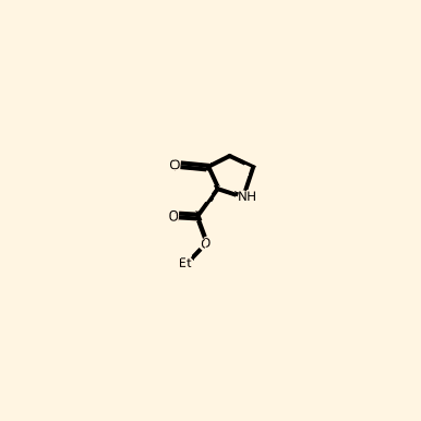 CCOC(=O)C1NCCC1=O